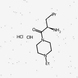 CCN1CCN(C(=O)[C@H](N)CC(C)C)CC1.Cl.Cl